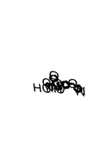 CN(C(C(=O)NO)C1CCOCC1)S(=O)(=O)c1ccc(Oc2ccncc2)cc1